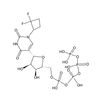 O=c1[nH]c(=O)n(C2CCC2(F)F)cc1[C@@H]1O[C@H](COP(=O)(O)OP(=O)(O)OP(=O)(O)OP(=O)(O)O)[C@@H](O)[C@H]1O